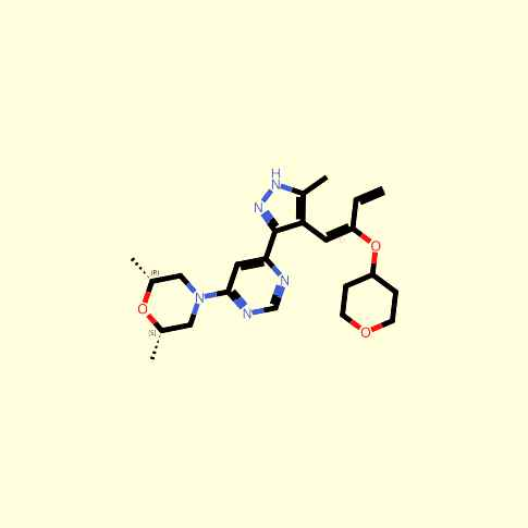 C=C/C(=C\c1c(-c2cc(N3C[C@@H](C)O[C@@H](C)C3)ncn2)n[nH]c1C)OC1CCOCC1